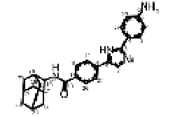 Nc1ccc(-c2ncc(-c3ccc(C(=O)NC4C5CC6CC(C5)CC4C6)cc3)[nH]2)cc1